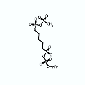 CCCOS(=O)(=O)OS(=O)(=O)CCCCCS(=O)(=O)OS(C)(=O)=O